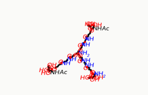 CC(=O)NC1C(OCCCCC(=O)NCCCNC(=O)CCOCC(N)(COCCC(=O)NCCCNC(=O)CCCCOC2OC(CO)C(O)C(O)C2N)COCCC(=O)NCCCNC(=O)CCCCOC2OC(CO)C(O)C(O)C2NC(C)=O)OC(CO)C(O)C1O